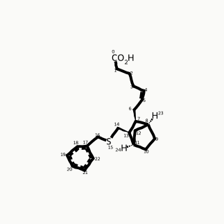 O=C(O)CCC/C=C\C[C@H]1[C@H]2CC[C@H](C2)[C@H]1CSCc1ccccc1